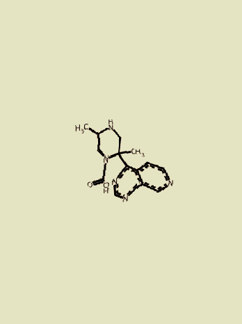 CC1CN(C(=O)O)C(C)(c2ncnc3cnccc23)CN1